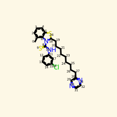 Cc1cccc2c1N(C(=S)Nc1cccc(Cl)c1)C(CCCCCCCCCc1cnccn1)S2